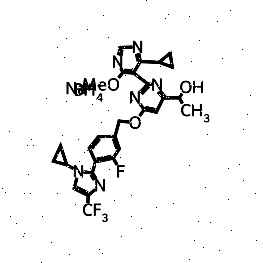 COc1ncnc(C2CC2)c1-c1nc(OCc2ccc(-c3nc(C(F)(F)F)cn3C3CC3)c(F)c2)cc(C(C)O)n1.[BH4-].[Na+]